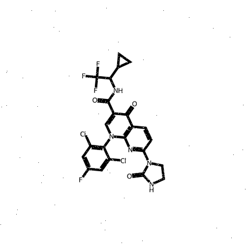 O=C(NC(C1CC1)C(F)(F)F)c1cn(-c2c(Cl)cc(F)cc2Cl)c2nc(N3CCNC3=O)ccc2c1=O